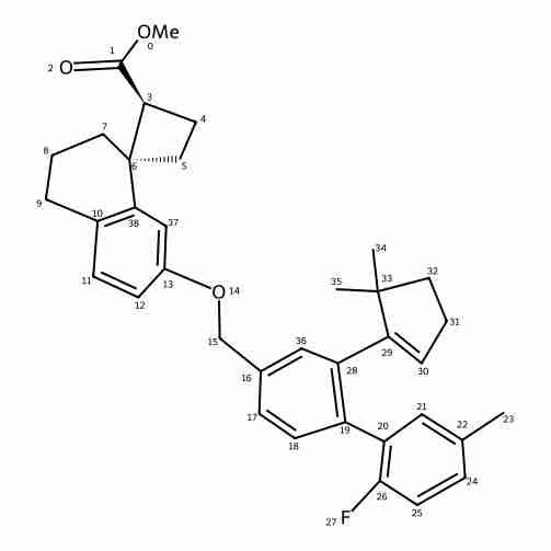 COC(=O)[C@H]1CC[C@]12CCCc1ccc(OCc3ccc(-c4cc(C)ccc4F)c(C4=CCCC4(C)C)c3)cc12